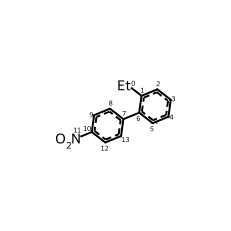 CCc1ccc[c]c1-c1ccc([N+](=O)[O-])cc1